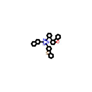 c1ccc(-c2cccc3oc4ccccc4c23)c(-c2nc(-c3ccc4ccccc4c3)nc(-c3ccc4c(c3)sc3ccccc34)n2)c1